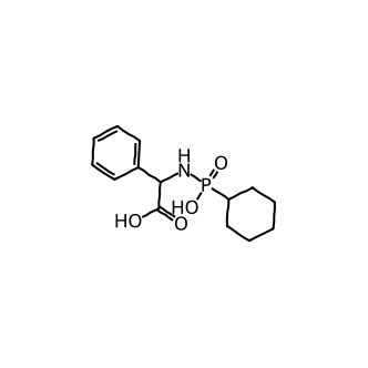 O=C(O)C(NP(=O)(O)C1CCCCC1)c1ccccc1